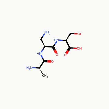 C[C@H](N)C(=O)N[C@@H](CN)C(=O)N[C@@H](CO)C(=O)O